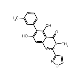 CCCCCc1cc(O)c(-c2cccc(C)c2)c(O)c1C(=O)N(C)Cc1ccon1